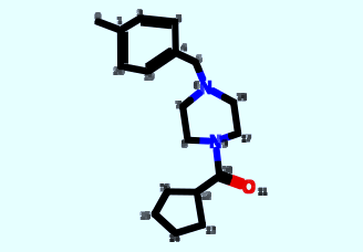 Cc1ccc(CN2CCN(C(=O)C3CCCC3)CC2)cc1